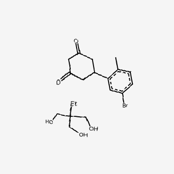 CCC(CO)(CO)CO.Cc1ccc(Br)cc1C1CC(=O)CC(=O)C1